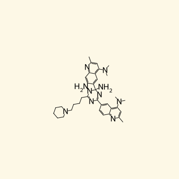 Cc1cc(N(C)C)c2cc(C3=NC(N)(c4ccc5nc(C)cc(N(C)C)c5c4)N(N)C(CCCCN4CCCCC4)=N3)ccc2n1